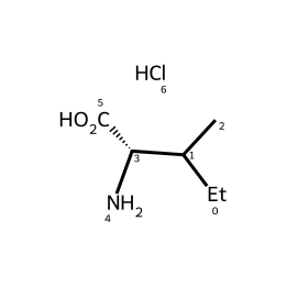 CCC(C)[C@H](N)C(=O)O.Cl